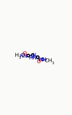 CCN1CCN(C(=O)c2cccc(Nc3nccc(-c4ccc(NC(C)=O)cc4)n3)c2)CC1